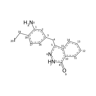 Nc1cc(Cc2n[nH]c(=O)c3ccccc23)ccc1CI